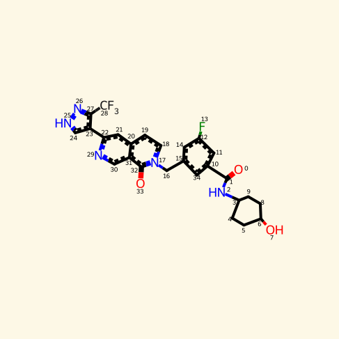 O=C(NC1CCC(O)CC1)c1cc(F)cc(Cn2ccc3cc(-c4c[nH]nc4C(F)(F)F)ncc3c2=O)c1